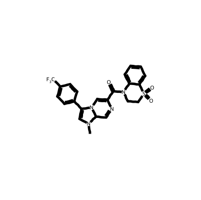 CN1C=C(c2ccc(C(F)(F)F)cc2)N2C=C(C(=O)N3CCS(=O)(=O)c4ccccc43)N=CC12